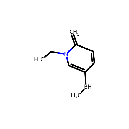 C=C1C=CC(BC)=CN1CC